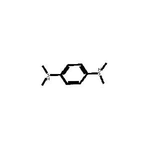 C[SH](C)c1ccc([SH](C)C)cc1